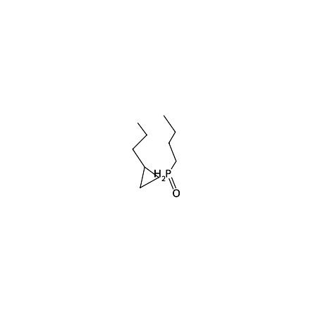 CCCC1CC1.CCCC[PH2]=O